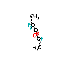 C=CCCc1ccc(C(=O)Oc2ccc(-c3ccc(CCC=C)c(F)c3F)cc2)cc1F